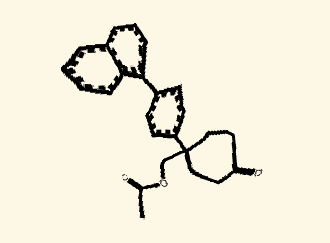 CC(=O)OCC1(c2ccc(-c3cccc4ccccc34)cc2)CCC(=O)CC1